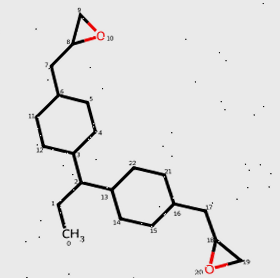 CCC(C1CCC(CC2CO2)CC1)C1CCC(CC2CO2)CC1